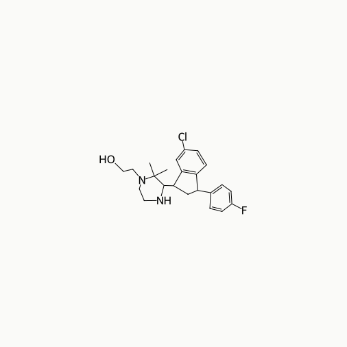 CC1(C)C(C2CC(c3ccc(F)cc3)c3ccc(Cl)cc32)NCCN1CCO